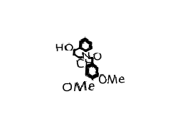 COc1ccc(C(=O)N2c3ccccc3C(O)CC2C)cc1OC